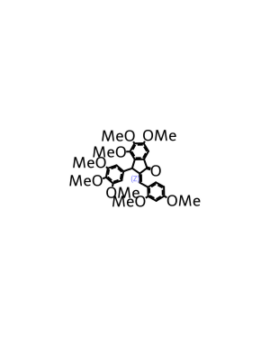 COc1ccc(/C=C2\C(=O)c3cc(OC)c(OC)c(OC)c3C2c2cc(OC)c(OC)c(OC)c2)c(OC)c1